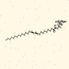 CCCCCCCCCCCCCCC#CC#CCCCCCCCCC(=O)NCC(C)OP(=O)(O)OO